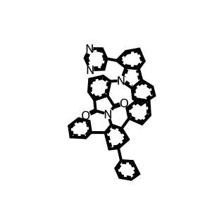 O=C1c2cccc(-n3c4ccccc4c4cccc(-c5cncnc5)c43)c2C(=O)N1c1c(-c2ccccc2)cc(-c2ccccc2)cc1-c1ccccc1